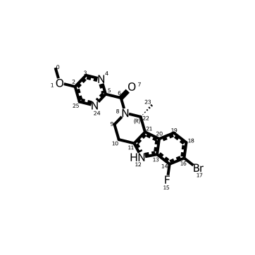 COc1cnc(C(=O)N2CCc3[nH]c4c(F)c(Br)ccc4c3[C@H]2C)nc1